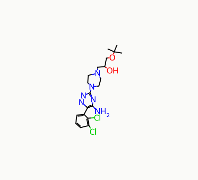 CC(C)(C)OC[C@@H](O)CN1CCN(c2nnc(-c3cccc(Cl)c3Cl)c(N)n2)CC1